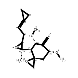 CO[C@@H]1C(=O)[C@H](OC)C[C@]2(CO2)[C@H]1[C@@]1(C)OC1CC=C1CC1